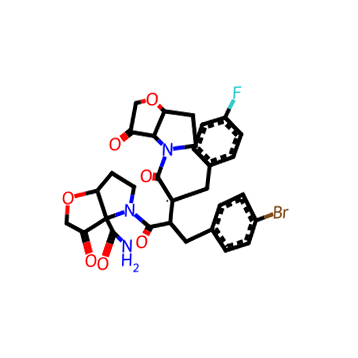 NC(=O)C12C(=O)COC1CCN2C(=O)C(Cc1ccc(Br)cc1)[C](Cc1ccc(F)cc1)C(=O)N1CCC2OCC(=O)C21